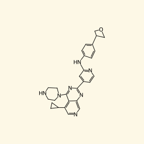 c1cc(-c2nc(N3CCNCC3)c3c(C4CC4)cncc3n2)cc(Nc2ccc(C3COC3)cc2)n1